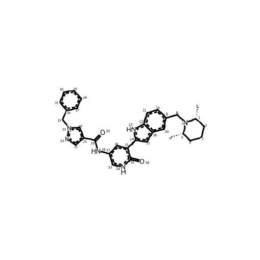 C[C@@H]1CCC[C@H](C)N1Cc1ccc2[nH]c(-c3cc(NC(=O)c4cnn(Cc5ccccc5)c4)c[nH]c3=O)cc2c1